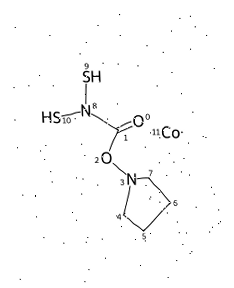 O=C(ON1CCCC1)N(S)S.[Co]